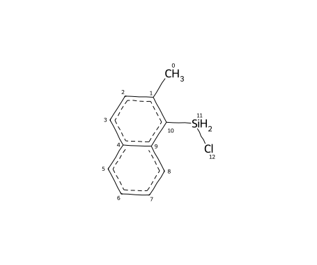 Cc1ccc2ccccc2c1[SiH2]Cl